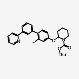 CC(C)(C)OC(=O)N1CCCCC1Oc1ccc(-c2cccc(-c3ccccn3)c2)c(F)c1